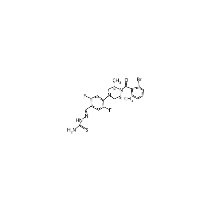 C[C@@H]1CN(c2cc(F)c(C=NNC(N)=S)cc2F)C[C@H](C)N1C(=O)c1ccccc1Br